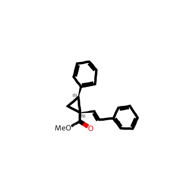 COC(=O)[C@]1(C=Cc2ccccc2)C[C@H]1c1ccccc1